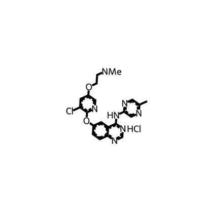 CNCCOc1cnc(Oc2ccc3ncnc(Nc4cnc(C)cn4)c3c2)c(Cl)c1.Cl